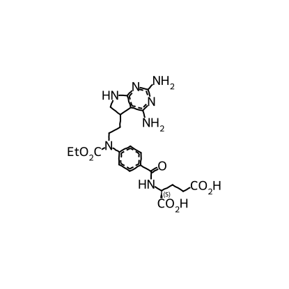 CCOC(=O)N(CCC1CNc2nc(N)nc(N)c21)c1ccc(C(=O)N[C@@H](CCC(=O)O)C(=O)O)cc1